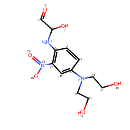 O=CC(O)Nc1ccc(N(CCO)CCO)cc1[N+](=O)[O-]